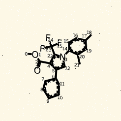 COC(=O)c1c(-c2ccccc2)cn(-c2ccc(C)cc2C)c1C(F)(F)F